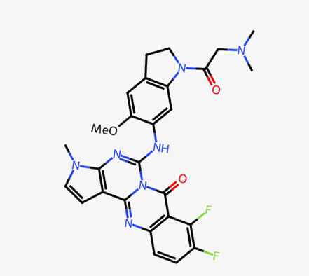 COc1cc2c(cc1Nc1nc3c(ccn3C)c3nc4ccc(F)c(F)c4c(=O)n13)N(C(=O)CN(C)C)CC2